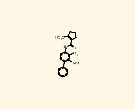 COc1c(-c2ccccc2)ccc(NC(=O)C2=C(C(=O)O)CCC2)c1C(F)(F)F